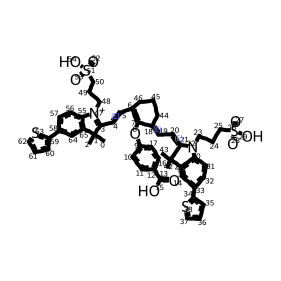 CC1(C)C(/C=C/C2=C(Oc3ccc(C(=O)O)cc3)C(=C/C=C3/N(CCCS(=O)(=O)O)c4ccc(-c5cccs5)cc4C3(C)C)/CCC2)=[N+](CCCS(=O)(=O)O)c2ccc(-c3cccs3)cc21